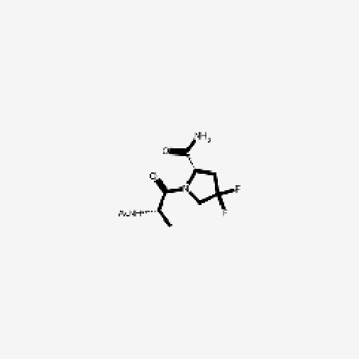 CC(=O)N[C@@H](C)C(=O)N1CC(F)(F)C[C@H]1C(N)=O